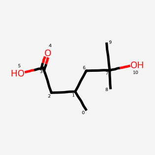 CC(CC(=O)O)CC(C)(C)O